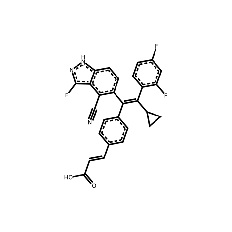 N#Cc1c(C(=C(c2ccc(F)cc2F)C2CC2)c2ccc(C=CC(=O)O)cc2)ccc2[nH]nc(F)c12